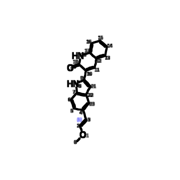 CO/C=C/c1ccc2[nH]c(-c3cc4ccccc4[nH]c3=O)cc2c1